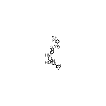 O=C(NCC(=O)N1CC[C@H](NC2CCC(O)(c3ccc(-c4cncnc4)cn3)CC2)C1)c1cccc(C(F)(F)F)c1